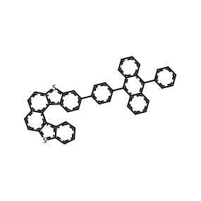 c1ccc(-c2c3ccccc3c(-c3ccc(-c4ccc5c(c4)sc4ccc6ccc7sc8ccccc8c7c6c45)cc3)c3ccccc23)cc1